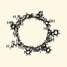 CCCC[C@H]1C(=O)N(C)[C@@H](CCCC)C(=O)N[C@@H](Cc2ccccn2)C(=O)N[C@H](C(=O)NCC(N)=O)CSCC(=O)N[C@@H](Cc2ccc(O)cc2)C(=O)N(C)[C@@H](C)C(=O)N[C@@H](CC(N)=O)C(=O)N2CCC[C@H]2C(=O)N[C@@H](Cc2cnc[nH]2)C(=O)N[C@@H](CC(C)C)C(=O)N2C[C@H](O)CC2C(=O)N[C@@H](Cc2c[nH]c3ccccc23)C(=O)N[C@@H](CO)C(=O)N[C@@H](Cc2c[nH]c3ccccc23)C(=O)N1C